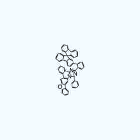 c1ccc(-c2nc(-c3ccccc3-c3ccc4c(c3)C3(c5ccccc5-c5ccccc53)c3ccccc3-4)nc(-c3ccccc3-c3ccc4c(c3)oc3ccccc34)n2)cc1